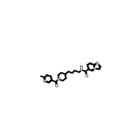 Cc1ccc(C(=O)N2CCC(CCCCNC(=O)c3ccc4nccn4c3)CC2)cn1